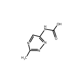 Cc1ncc(NC(=O)O)nn1